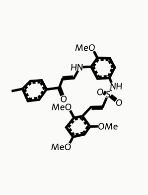 COc1cc(OC)c(C=CS(=O)(=O)Nc2ccc(OC)c(NC=CC(=O)c3ccc(C)cc3)c2)c(OC)c1